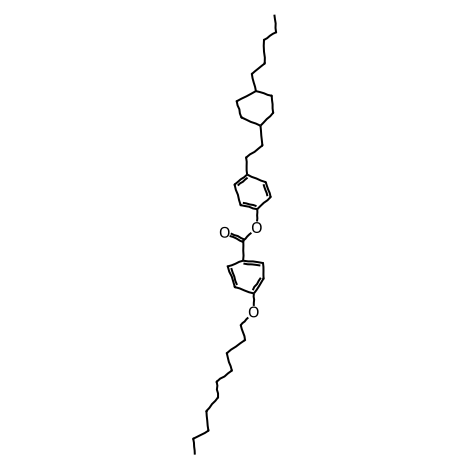 CCCCCCCCCCOc1ccc(C(=O)Oc2ccc(CCC3CCC(CCCCC)CC3)cc2)cc1